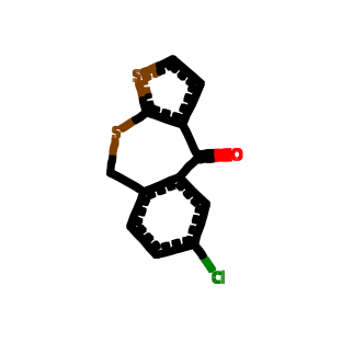 O=C1c2cc(Cl)ccc2CSc2sccc21